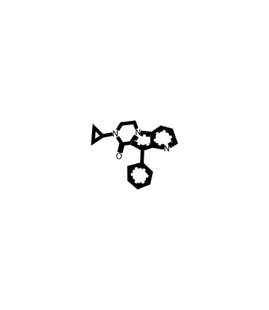 O=C1c2c(-c3ccccc3)c3ncccc3n2CCN1C1CC1